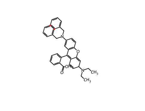 CCN(CC)C1C=CC2=C(c3ccccc3C(=O)O)c3cc(N(Cc4ccccc4)Cc4ccccc4)ccc3OC2=C1